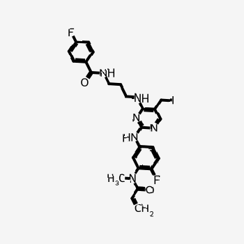 C=CC(=O)N(C)c1cc(Nc2ncc(CI)c(NCCCNC(=O)c3ccc(F)cc3)n2)ccc1F